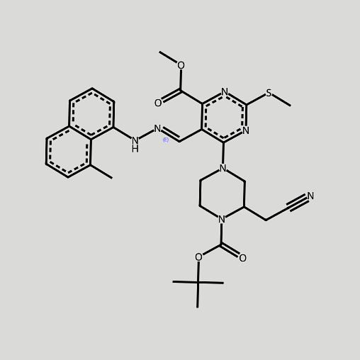 COC(=O)c1nc(SC)nc(N2CCN(C(=O)OC(C)(C)C)C(CC#N)C2)c1/C=N/Nc1cccc2cccc(C)c12